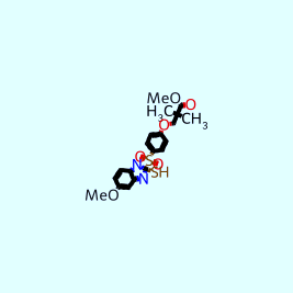 COC(=O)C(C)(C)COc1ccc(S(=O)(=O)C2(S)N=c3ccc(OC)cc3=N2)cc1